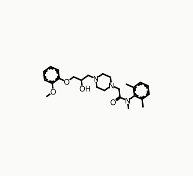 COc1ccccc1OCC(O)CN1CCN(CC(=O)N(C)c2c(C)cccc2C)CC1